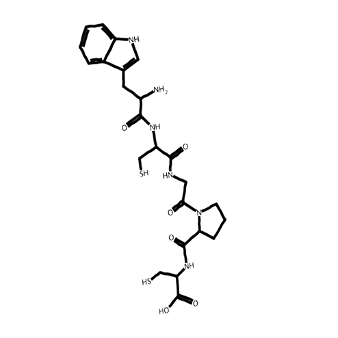 NC(Cc1c[nH]c2ccccc12)C(=O)NC(CS)C(=O)NCC(=O)N1CCCC1C(=O)NC(CS)C(=O)O